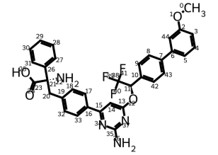 COc1cccc(-c2ccc([C@@H](Oc3cc(-c4ccc(C[C@@](N)(C(=O)O)c5ccccc5)cc4)nc(N)n3)C(F)(F)F)cc2)c1